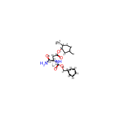 CC1CCC(C(C)C)C(OC(=O)C[C@@](C)(NC(=O)OCc2ccccc2)C(N)=O)C1